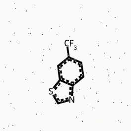 FC(F)(F)c1ccc2n[c]sc2c1